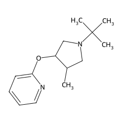 CC1CN(C(C)(C)C)CC1Oc1ccccn1